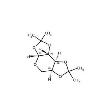 CC1(C)O[C@H]2OC[C@@H]3OC(C)(C)O[C@@H]3[C@H]2O1